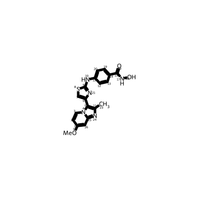 COc1ccn2c(-c3csc(Nc4ccc(C(=O)NO)cc4)n3)c(C)nc2c1